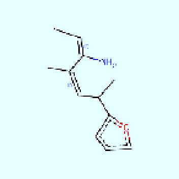 C/C=C(N)\C(C)=C/C(C)c1ccco1